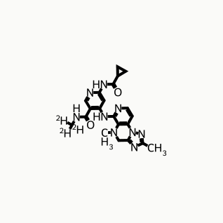 [2H]C([2H])([2H])NC(=O)c1cnc(NC(=O)C2CC2)cc1Nc1nccc2c1N(C)Cc1nc(C)nn1-2